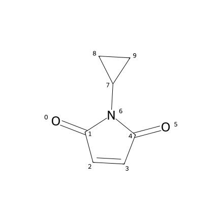 O=C1C=CC(=O)N1C1CC1